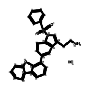 Cl.O=S(=O)(c1ccccc1)n1cc(CC[AsH2])c2cc(-c3cccc4c3oc3ccccc34)ccc21